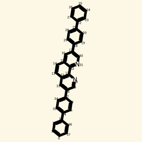 c1ccc(-c2ccc(-c3cnc4c(ccc5cc(-c6ccc(-c7ccccc7)cc6)cnc54)c3)cc2)cc1